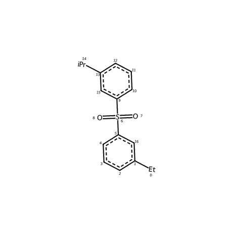 CCc1cccc(S(=O)(=O)c2cccc(C(C)C)c2)c1